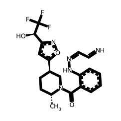 C[C@@H]1CC[C@@H](c2cc([C@@H](O)C(F)(F)F)no2)CN1C(=O)c1ccccc1N/N=C\C=N